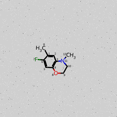 Cc1cc2c(cc1F)OCCN2C